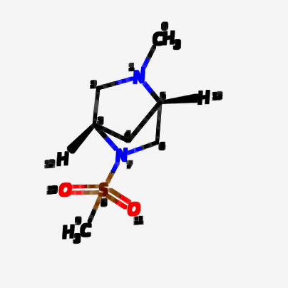 CN1C[C@@H]2C[C@H]1CN2S(C)(=O)=O